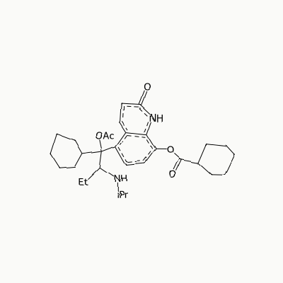 CCC(NC(C)C)C(OC(C)=O)(c1ccc(OC(=O)C2CCCCC2)c2[nH]c(=O)ccc12)C1CCCCC1